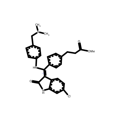 COC(=O)CCc1ccc(/C(Nc2ccc(CN(C)C)cc2)=C2/C(=O)Nc3cc(Cl)ccc32)cc1